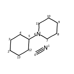 C#N.C1CCC(N2CCCCC2)CC1